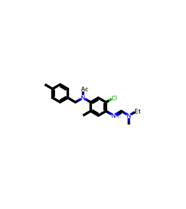 CCN(C)/C=N/c1cc(C)c(N(Cc2ccc(C)cc2)C(C)=O)cc1Cl